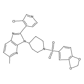 Cc1ccc2nc(-c3ccncc3Cl)n(C3CCN(S(=O)(=O)c4ccc5c(c4)OCO5)CC3)c2n1